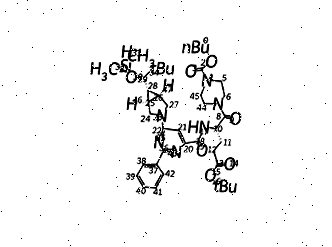 CCCCOC(=O)N1CCN(C(=O)[C@H](CCC(=O)OC(C)(C)C)NC(=O)c2cc(N3C[C@@H]4[C@H](C3)[C@H]4C(O[SiH](C)C)C(C)(C)C)nc(-c3ccccc3)n2)CC1